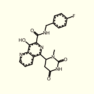 CN1C(=O)NC(=O)CC1c1nc(C(=O)NCc2ccc(F)cc2)c(O)c2ncccc12